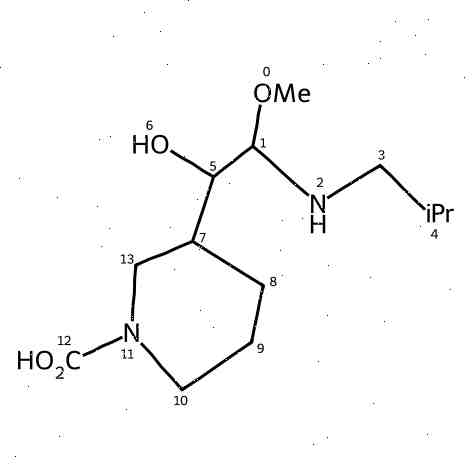 COC(NCC(C)C)C(O)C1CCCN(C(=O)O)C1